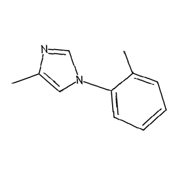 Cc1cn(-c2ccccc2C)cn1